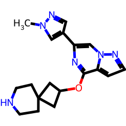 Cn1cc(-c2cn3nccc3c(OC3CC4(CCNCC4)C3)n2)cn1